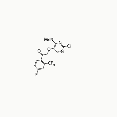 CNc1nc(Cl)ncc1OCC(=O)c1ccc(F)cc1C(F)(F)F